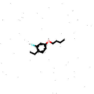 CCCCOc1ccc(CC)c(F)c1